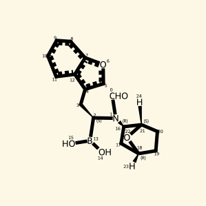 O=CN([C@H](Cc1coc2ccccc12)B(O)O)[C@@H]1C[C@H]2CC[C@@H]1O2